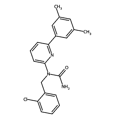 Cc1cc(C)cc(-c2cccc(N(Cc3ccccc3Cl)C(N)=O)n2)c1